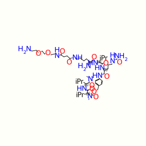 CC(C)[C@H](NC(=O)[C@@H](N)CCCCNC(=O)CCC(=O)NCCOCCOCCN)C(=O)N[C@@H](CCCNC(N)=O)C(=O)Nc1ccc(COC(=O)N(C)[C@H](C(=O)N[C@H](C(=O)N(C)C)C(C)C)C(C)C)cc1